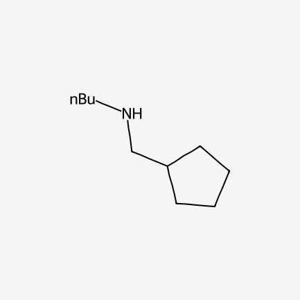 [CH2-][CH+]CCNCC1CCCC1